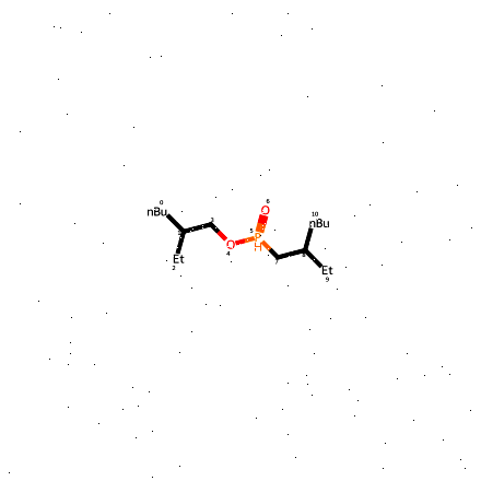 CCCCC(CC)CO[PH](=O)CC(CC)CCCC